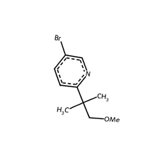 COCC(C)(C)c1ccc(Br)cn1